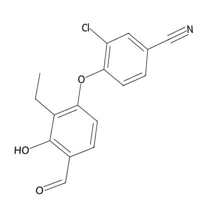 CCc1c(Oc2ccc(C#N)cc2Cl)ccc(C=O)c1O